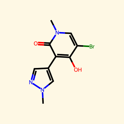 Cn1cc(-c2c(O)c(Br)cn(C)c2=O)cn1